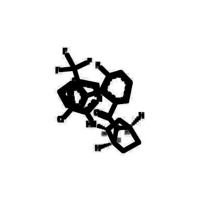 O=C(c1cccc(F)c1-c1ncco1)N1[C@@H]2CC[C@H]1[C@H](Nc1ncc(C(F)(F)F)cc1Cl)C2